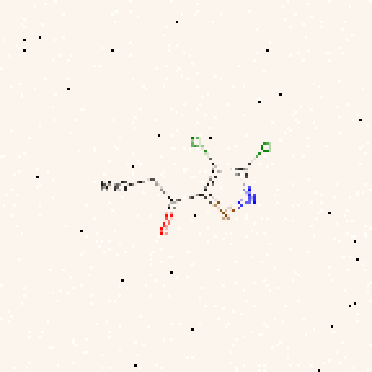 CSCC(=O)c1snc(Cl)c1Cl